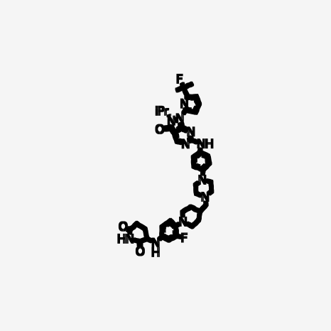 CC(C)n1c(=O)c2cnc(Nc3ccc(N4CCN(CC5CCN(c6ccc(NC7CCC(=O)NC7=O)cc6F)CC5)CC4)cc3)nc2n1-c1cccc(C(C)(C)F)n1